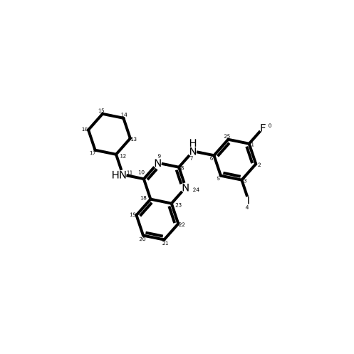 Fc1cc(I)cc(Nc2nc(NC3CCCCC3)c3ccccc3n2)c1